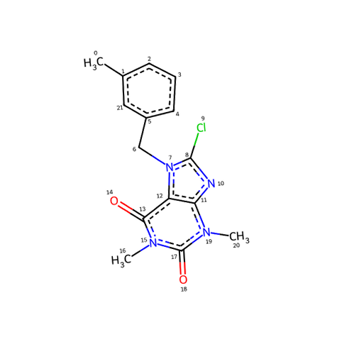 Cc1cccc(Cn2c(Cl)nc3c2c(=O)n(C)c(=O)n3C)c1